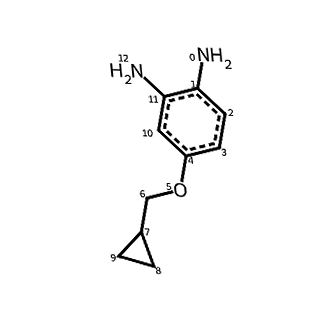 Nc1ccc(OCC2CC2)cc1N